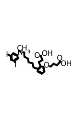 CN(CCCCCCc1cccc(OCCCC(=O)O)c1CCC(=O)O)c1cc(I)cc(I)c1